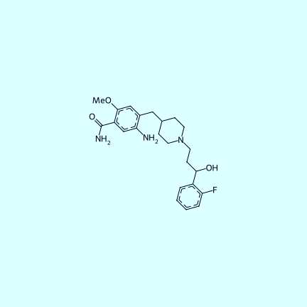 COc1cc(CC2CCN(CCC(O)c3ccccc3F)CC2)c(N)cc1C(N)=O